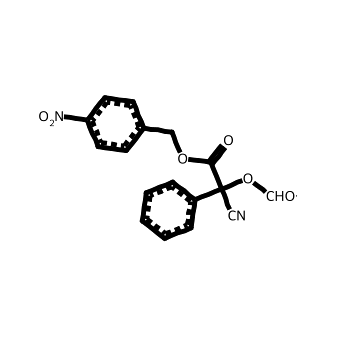 N#CC(O[C]=O)(C(=O)OCc1ccc([N+](=O)[O-])cc1)c1ccccc1